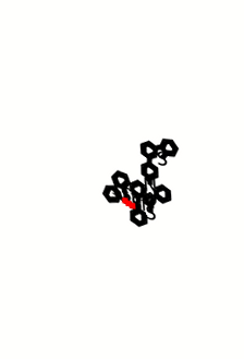 c1ccc(N(c2ccc(-c3cccc4c3sc3ccccc34)cc2)c2ccc3c(c2)[Si]2(c4ccccc4Sc4ccccc42)c2ccccc2[Si]3(c2ccccc2)c2ccccc2)cc1